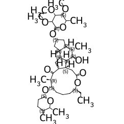 CC[C@H]1CCC[C@H](O[C@H]2CC[C@H](C)C(C)O2)[C@@H](C)C(=O)C2=C[C@H]3[C@@H]4C[C@H](O[C@@H]5OC(C)[C@H](OC)C(OC)C5OC)C[C@H]4[C@H](C)[C@@H](O)[C@H]3[C@@H]2CC(=O)O1